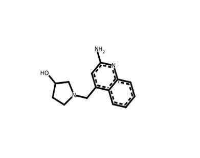 Nc1cc(CN2CCC(O)C2)c2ccccc2n1